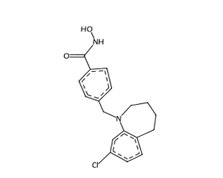 O=C(NO)c1ccc(CN2CCCCc3ccc(Cl)cc32)cc1